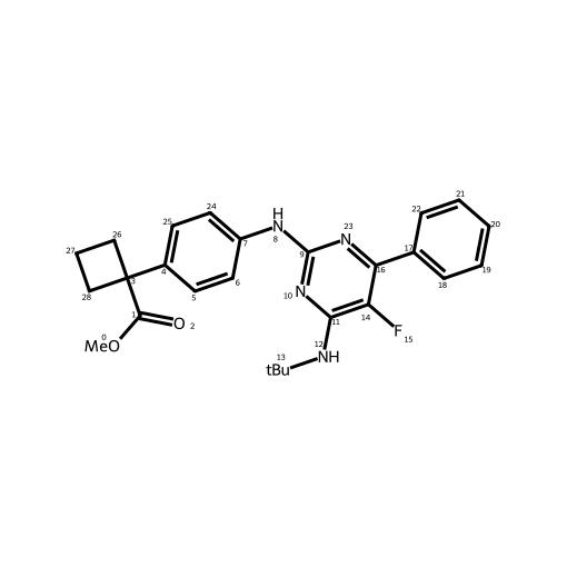 COC(=O)C1(c2ccc(Nc3nc(NC(C)(C)C)c(F)c(-c4ccccc4)n3)cc2)CCC1